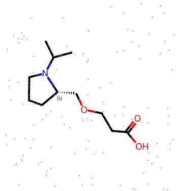 CC(C)N1CCC[C@H]1COCCC(=O)O